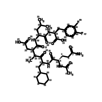 CC(=O)N[C@@H](CCC(N)=O)C(=O)N[C@@H](CC1CCCCC1)C(=O)N(C)[C@@H](CC(=O)O)C(=O)N[C@@H](CC(C)C)C(=O)N[C@@H](Cc1ccc(F)c(F)c1)C(=O)O